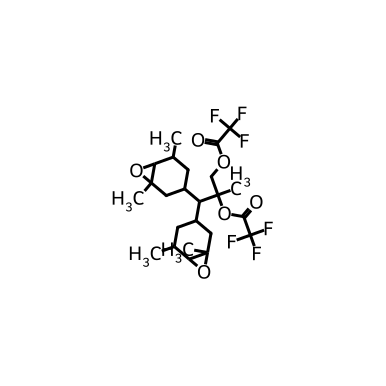 CC1CC(C(C2CC(C)C3OC3(C)C2)C(C)(COC(=O)C(F)(F)F)OC(=O)C(F)(F)F)CC2(C)OC12